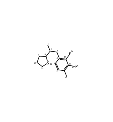 Cc1ccc(CC(C)C2CCCS2)c(F)c1C(C)C